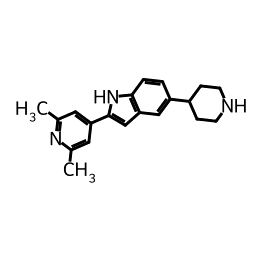 Cc1cc(-c2cc3cc(C4CCNCC4)ccc3[nH]2)cc(C)n1